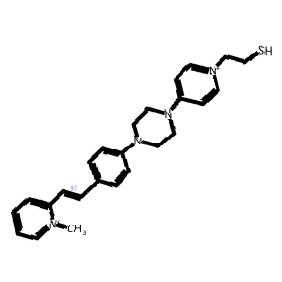 C[n+]1ccccc1/C=C/c1ccc(N2CCN(c3cc[n+](CCS)cc3)CC2)cc1